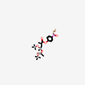 CC(C[Si](C)(O[SiH](C)O[Si](C)(C)C)O[Si](C)(C)C)C(=O)Oc1ccc(P(=O)=S=S)cc1